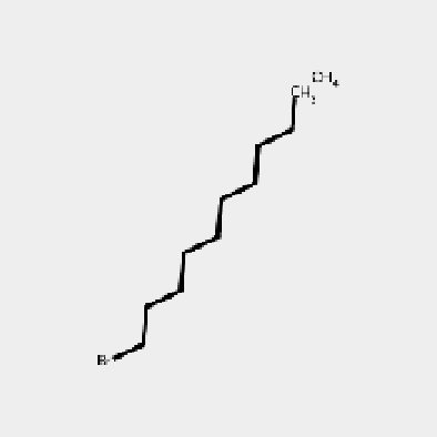 C.CCCCCCCCCCBr